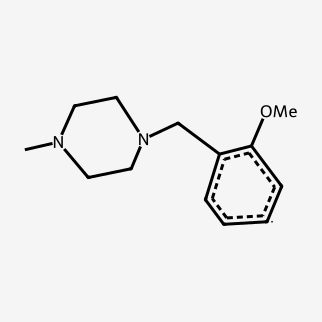 COc1c[c]ccc1CN1CCN(C)CC1